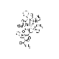 CC(C)(C)[C@H](NC(=O)[C@@H](NC(=O)c1ncc[nH]1)C1CCCCC1)C(=O)N1C[C@]2(C[C@H]1C(=O)NC(CC1CCC1)C(=O)C(N)=O)C(C)(C)C21CCC1